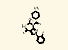 CC(C)N(c1nn(-c2ccccc2F)cc1C(=O)O)C(=O)[C@H]1CC[C@H](C)CC1